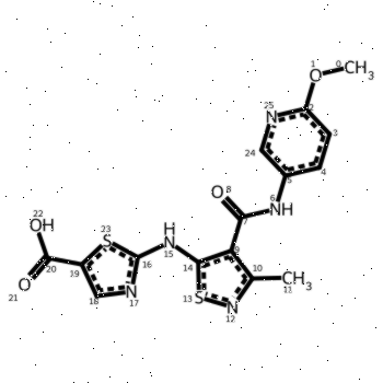 COc1ccc(NC(=O)c2c(C)nsc2Nc2ncc(C(=O)O)s2)cn1